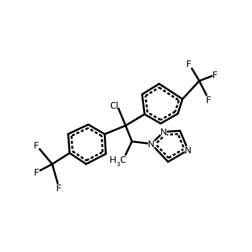 CC(n1cncn1)C(Cl)(c1ccc(C(F)(F)F)cc1)c1ccc(C(F)(F)F)cc1